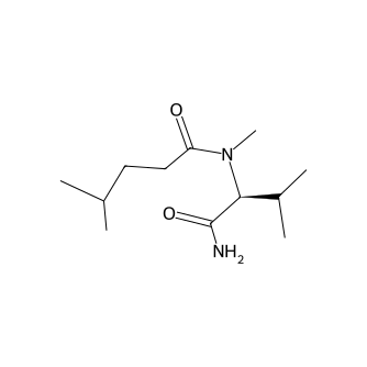 CC(C)CCC(=O)N(C)[C@H](C(N)=O)C(C)C